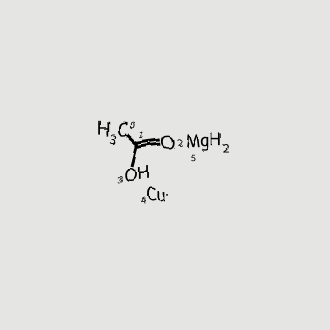 CC(=O)O.[Cu].[MgH2]